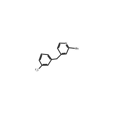 CC(C)(C)c1cc(Cc2cccc(C(F)(F)F)c2)ccn1